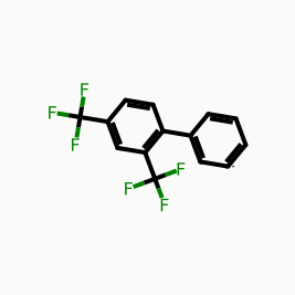 FC(F)(F)c1ccc(-c2c[c]ccc2)c(C(F)(F)F)c1